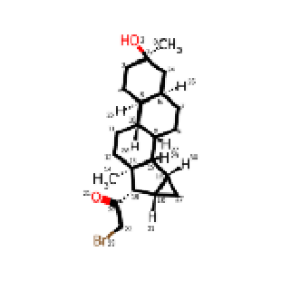 C[C@@]1(O)CC[C@H]2[C@H](CC[C@@H]3[C@@H]2CC[C@@]2(C)[C@H]3[C@@H]3C[C@@H]3[C@@H]2C(=O)CBr)C1